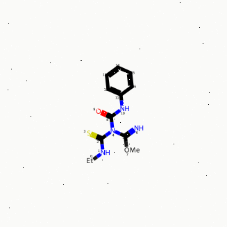 CCNC(=S)N(C(=N)OC)C(=O)Nc1ccccc1